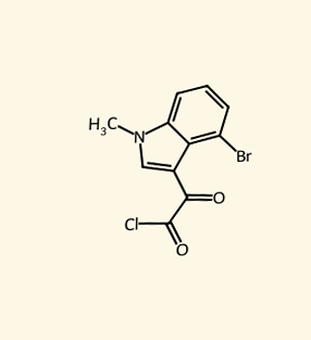 Cn1cc(C(=O)C(=O)Cl)c2c(Br)cccc21